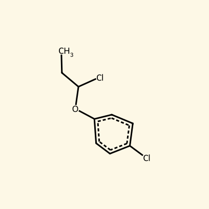 CCC(Cl)Oc1ccc(Cl)cc1